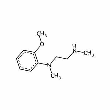 CNCCN(C)c1ccccc1OC